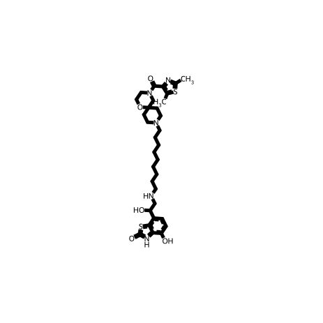 Cc1nc(C(=O)N2CCOC3(CCN(CCCCCCCCCNCC(O)c4ccc(O)c5[nH]c(=O)sc45)CC3)C2)c(C)s1